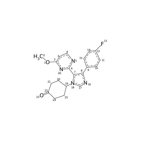 COc1ccnc(-c2c(-c3ccc(F)cc3)ncn2C2CCC(=O)CC2)n1